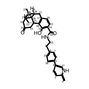 C=C1C=CC(c2ccc(CCNC(=O)c3ccc4c(c3O)[C@]35CCN(C)[C@H](C4)[C@]3(O)CCC(=O)C5)cc2)=CN1